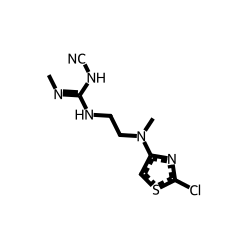 CN=C(NC#N)NCCN(C)c1csc(Cl)n1